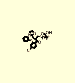 NCc1c(-c2ncco2)n(-c2ccccc2)c2cc(Cl)ccc2c1=O.O=C(O)C(F)(F)F